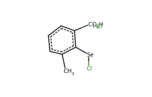 Cc1cccc(C(=O)O)c1[Se]Cl.Cl